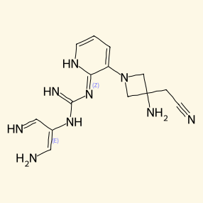 N#CCC1(N)CN(c2ccc[nH]/c2=N\C(=N)N/C(C=N)=C/N)C1